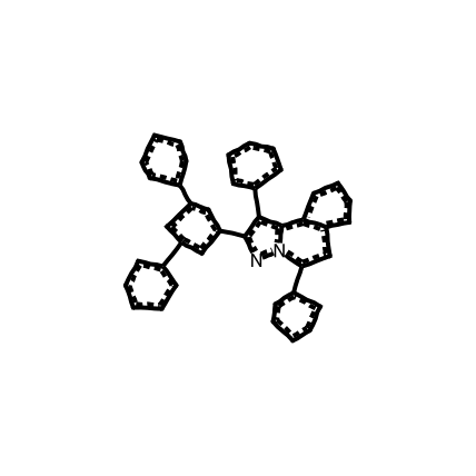 c1ccc(-c2cc(-c3ccccc3)cc(-c3nn4c(-c5ccccc5)cc5ccccc5c4c3-c3ccccc3)c2)cc1